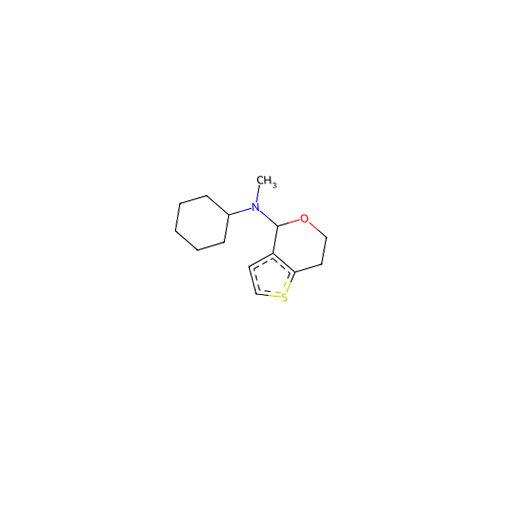 CN(C1CCCCC1)C1OCCc2sccc21